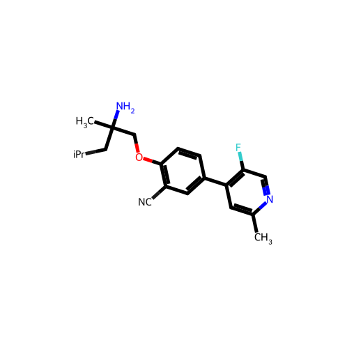 Cc1cc(-c2ccc(OCC(C)(N)CC(C)C)c(C#N)c2)c(F)cn1